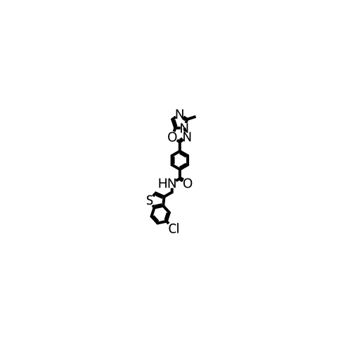 Cc1ncc2oc(-c3ccc(C(=O)NCc4csc5ccc(Cl)cc45)cc3)nn12